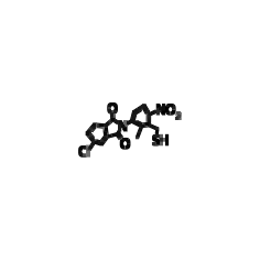 Cc1c(N2C(=O)c3ccc(Cl)cc3C2=O)ccc([N+](=O)[O-])c1CS